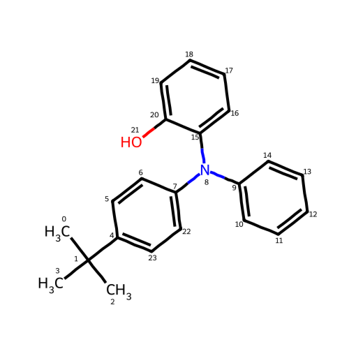 CC(C)(C)c1ccc(N(c2ccccc2)c2ccccc2O)cc1